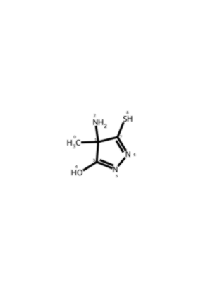 CC1(N)C(O)=NN=C1S